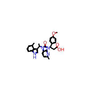 COc1ccc(C(CC(=O)O)n2c(=O)n(C(C)c3c[nH]c4cccc(C)c34)c3ccc(C)nc32)cc1